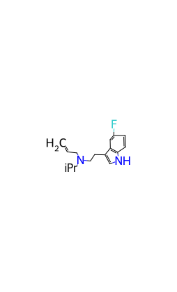 C=CCN(CCc1c[nH]c2ccc(F)cc12)C(C)C